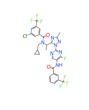 Cc1nc(C(C)N(CC2CC2)C(=O)c2cc(Cl)cc(C(F)(F)F)c2)n(-c2ncc(NC(=O)c3cccc(C(F)(F)F)c3)c(F)n2)n1